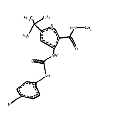 CNC(=O)c1sc(C(C)(C)C)cc1NC(=O)Nc1ccc(F)cc1